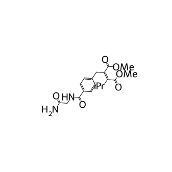 COC(=O)C(Cc1ccc(C(=O)NCC(N)=O)cc1)=C(C(=O)OC)C(C)C